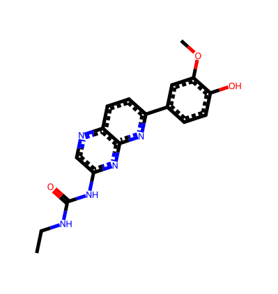 CCNC(=O)Nc1cnc2ccc(-c3ccc(O)c(OC)c3)nc2n1